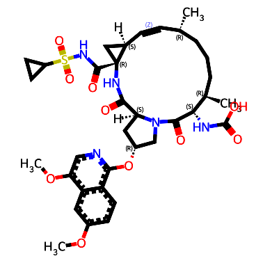 COc1ccc2c(O[C@@H]3C[C@H]4C(=O)N[C@]5(C(=O)NS(=O)(=O)C6CC6)C[C@H]5/C=C\[C@H](C)CCC[C@@H](C)[C@H](NC(=O)O)C(=O)N4C3)ncc(OC)c2c1